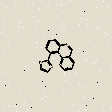 c1ccc2c(c1)cnc1cccc(-c3ncc[nH]3)c12